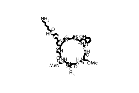 CNC(=O)C[C@@H]1NC(=O)c2csc(n2)-c2ccc(-c3nc(NC(=O)CCCCCN)cs3)nc2-c2csc(n2)-c2csc(n2)[C@H]([C@@H](O)c2ccccc2)NC(=O)CNC(=O)c2nc(sc2COC)NC(=O)c2nc1sc2C